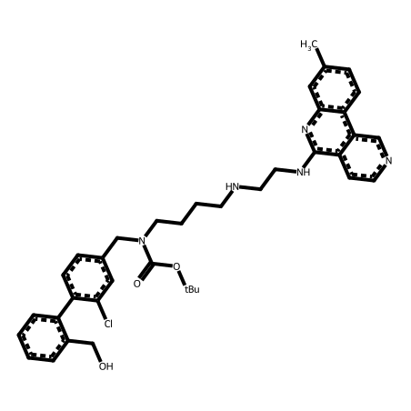 Cc1ccc2c(c1)nc(NCCNCCCCN(Cc1ccc(-c3ccccc3CO)c(Cl)c1)C(=O)OC(C)(C)C)c1ccncc12